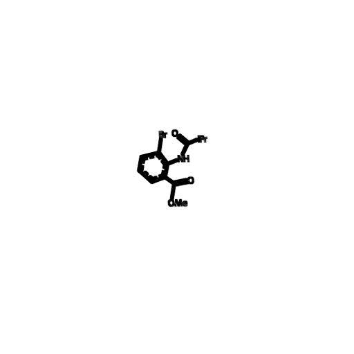 COC(=O)c1cccc(Br)c1NC(=O)C(C)C